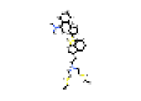 CCSCCN(CCSCC)CCC1CC2C3C1CCCC3S2(C)C1CCC2C3CCCCC3C(N(C)C)CC21